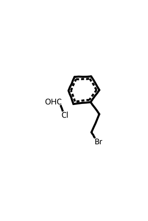 BrCCc1ccccc1.O=CCl